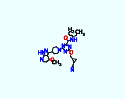 C=C(CC)NC(=O)c1nc(OC[C@H]2C[C@H]2C#N)nc(N2CCC(c3n[nH]c4nccc(OC)c34)CC2)n1